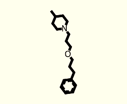 CC1CCN(CCCOCCCc2ccccc2)CC1